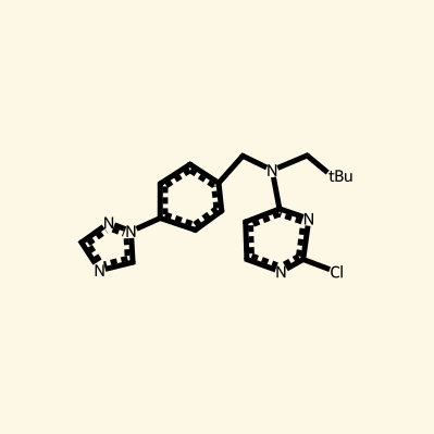 CC(C)(C)CN(Cc1ccc(-n2cncn2)cc1)c1ccnc(Cl)n1